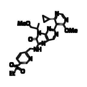 CCS(=O)(=O)c1ccc(CNc2nc3cnc(-c4c(OC)ncnc4C4CC4)nc3n(C(C)COC)c2=O)nc1